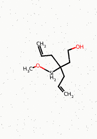 C=CCC(CC=C)(CCO)[SiH2]OC